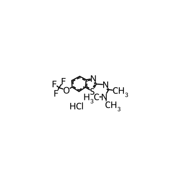 CC(=Nc1nc2ccc(OC(F)(F)F)cc2s1)N(C)C.Cl